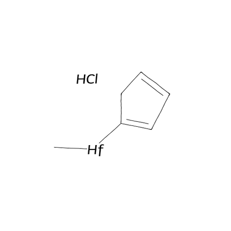 Cl.[CH3][Hf][C]1=CC=CC1